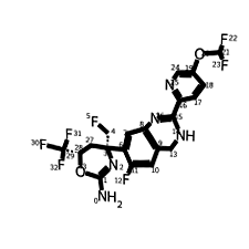 NC1=N[C@](CF)(c2cc3c(cc2F)CNC(c2ccc(OC(F)F)cn2)=N3)C[C@@H](C(F)(F)F)O1